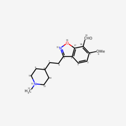 COc1ccc2c(CCC3CCN(C)CC3)noc2c1C=O